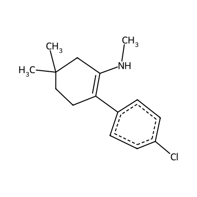 CNC1=C(c2ccc(Cl)cc2)CCC(C)(C)C1